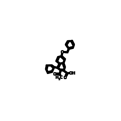 CC(=O)c1c(C(=O)O)cc2cc(OCc3ccccc3)ccc2c1-c1ccccc1